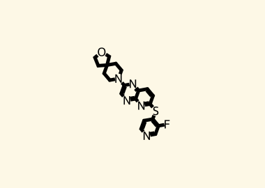 Fc1cnccc1Sc1ccc2nc(N3CCC4(CCOC4)CC3)cnc2n1